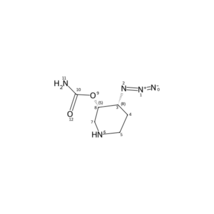 [N-]=[N+]=N[C@@H]1CCNC[C@@H]1OC(N)=O